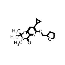 CN(C(=O)c1ccc(C2CC2)c(OCC2CCCO2)n1)C(C)(C)C